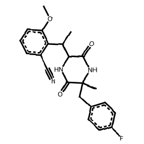 COc1cccc(C#N)c1C(C)C1NC(=O)C(C)(Cc2ccc(F)cc2)NC1=O